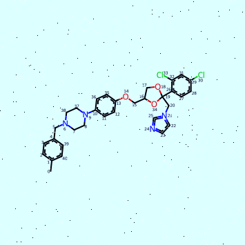 Cc1ccc(CN2CCN(c3ccc(OCC4COC(Cn5ccnc5)(c5ccc(Cl)cc5Cl)O4)cc3)CC2)cc1